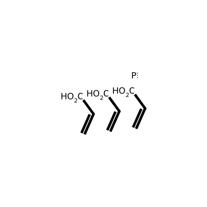 C=CC(=O)O.C=CC(=O)O.C=CC(=O)O.[P]